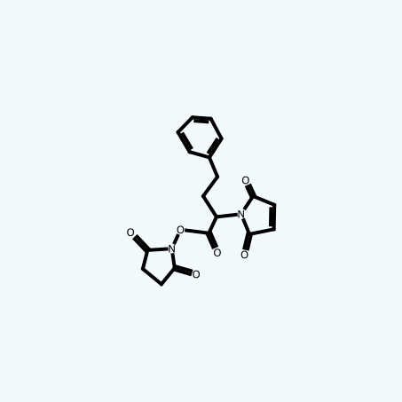 O=C(ON1C(=O)CCC1=O)C(CCc1ccccc1)N1C(=O)C=CC1=O